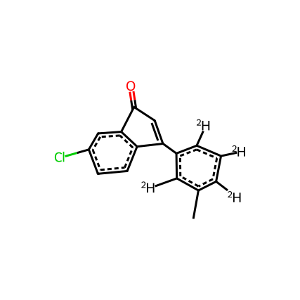 [2H]c1c([2H])c(C)c([2H])c(C2=CC(=O)c3cc(Cl)ccc32)c1[2H]